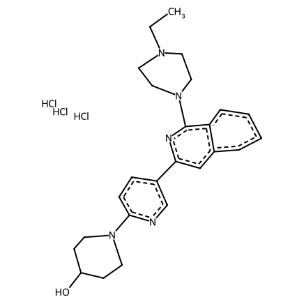 CCN1CCN(c2nc(-c3ccc(N4CCC(O)CC4)nc3)cc3ccccc23)CC1.Cl.Cl.Cl